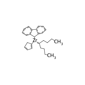 CCCC[C](CCCC)=[Zr]([C]1=CC=CC1)[CH]1c2ccccc2-c2ccccc21